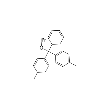 Cc1ccc(C(OC(C)C)(c2ccccc2)c2ccc(C)cc2)cc1